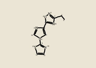 CCc1noc(-c2cn(-c3nccs3)cn2)n1